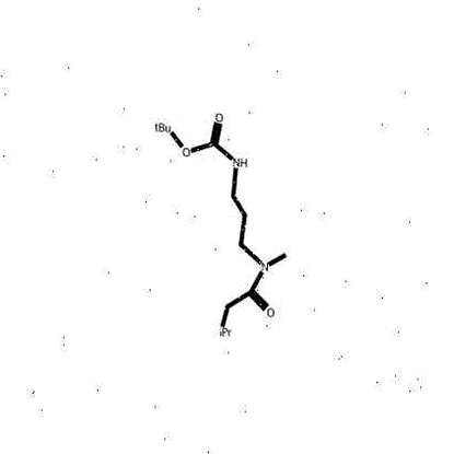 CC(C)CC(=O)N(C)CCCNC(=O)OC(C)(C)C